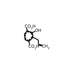 C=CCc1c(C(=O)O)ccc(C(=O)O)c1O